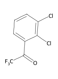 O=C(c1cccc(Cl)c1Cl)C(F)(F)F